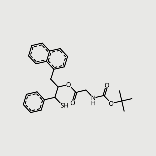 CC(C)(C)OC(=O)NCC(=O)OC(Cc1cccc2ccccc12)C(S)c1ccccc1